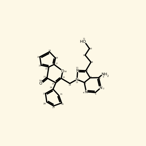 NC1=NC=NC2C1C(CCCO)=NN2Cc1oc2ccccc2c(=O)c1-c1ccccc1